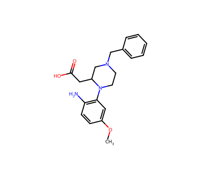 COc1ccc(N)c(N2CCN(Cc3ccccc3)CC2CC(=O)O)c1